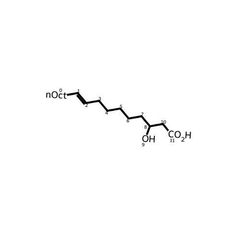 CCCCCCCCC=CCCCCCC(O)CC(=O)O